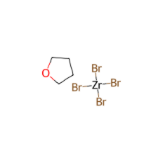 C1CCOC1.[Br][Zr]([Br])([Br])[Br]